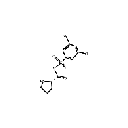 O=C(OS(=O)(=O)c1cc(Cl)cc(Cl)c1)[C@@H]1CCCN1